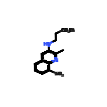 CCOC(=O)CCNc1cc2cccc([N+](=O)[O-])c2nc1C